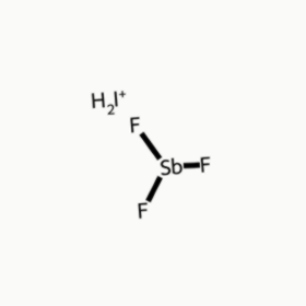 [F][Sb]([F])[F].[IH2+]